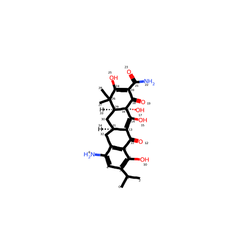 CC(C)c1cc(N)c2c(c1O)C(=O)C1=C(O)[C@]3(O)C(=O)C(C(N)=O)=C(O)C(C)(C)[C@@H]3C[C@@H]1C2